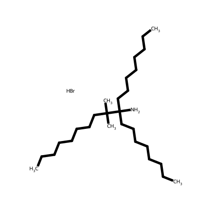 Br.CCCCCCCCC(C)(C)C(N)(CCCCCCCC)CCCCCCCC